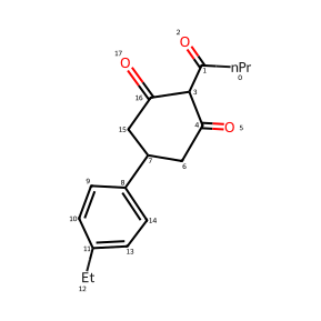 CCCC(=O)C1C(=O)CC(c2ccc(CC)cc2)CC1=O